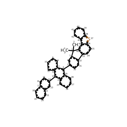 CC1(C)c2cc(-c3c4ccccc4c(-c4ccc5ccccc5c4)c4ccccc34)ccc2-c2ccc3sc4ccccc4c3c21